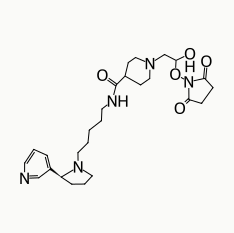 O=C(NCCCCCN1CCC[C@H]1c1cccnc1)C1CCN(CC(O)ON2C(=O)CCC2=O)CC1